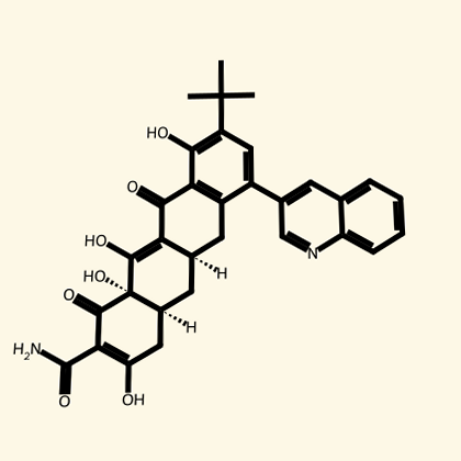 CC(C)(C)c1cc(-c2cnc3ccccc3c2)c2c(c1O)C(=O)C1=C(O)[C@]3(O)C(=O)C(C(N)=O)=C(O)C[C@@H]3C[C@@H]1C2